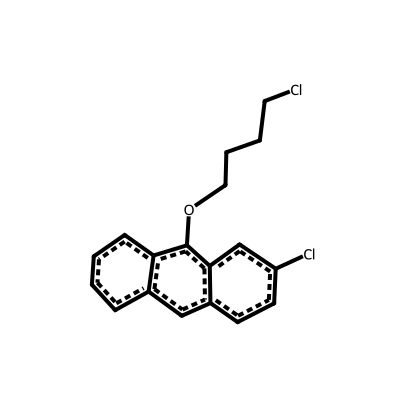 ClCCCCOc1c2ccccc2cc2ccc(Cl)cc12